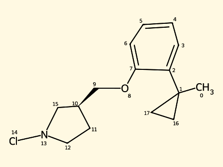 CC1(c2ccccc2OC[C@H]2CCN(Cl)C2)CC1